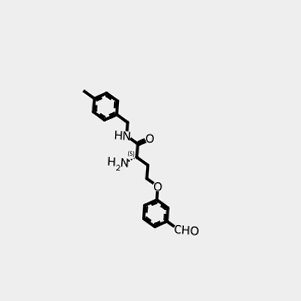 Cc1ccc(CNC(=O)[C@@H](N)CCOc2cccc(C=O)c2)cc1